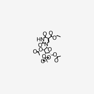 CCOC(=O)c1cn([C@@H]2O[C@H](COC(C)=O)[C@H](OS(C)(=O)=O)[C@H]2OC(C)=O)c(=O)[nH]c1=O